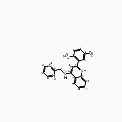 Oc1ccc(Br)cc1-c1nc(NCc2ncccn2)c2ccccc2n1